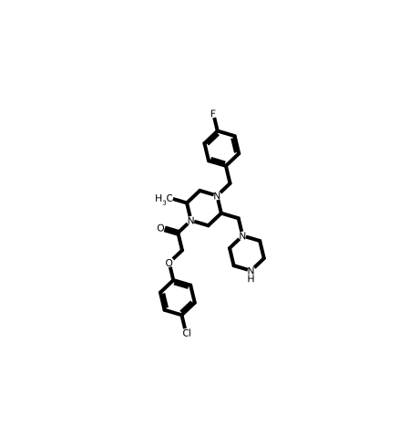 CC1CN(Cc2ccc(F)cc2)C(CN2CCNCC2)CN1C(=O)COc1ccc(Cl)cc1